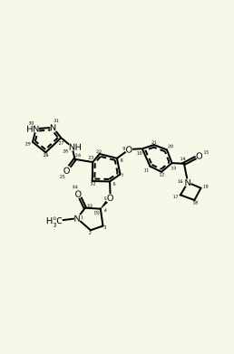 CN1CC[C@H](Oc2cc(Oc3ccc(C(=O)N4CCC4)cc3)cc(C(=O)Nc3cc[nH]n3)c2)C1=O